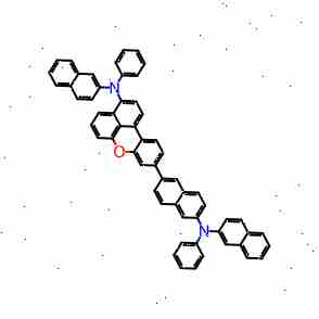 c1ccc(N(c2ccc3ccccc3c2)c2ccc3cc(-c4ccc5c(c4)Oc4cccc6c(N(c7ccccc7)c7ccc8ccccc8c7)ccc-5c46)ccc3c2)cc1